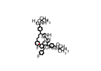 CC(C)(C)NC(=O)c1ccc(C(CCCc2ccc(F)cc2)c2c[nH]c(-c3ncc(C(O)(CCCc4ccc(F)cc4)c4ccc(C(=O)NC(C)(C)C)cc4)n3Cc3ccccc3)n2)cc1